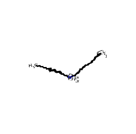 CCCCCCCC/C=C/CCCCCCCC[N+](C)(C)CCCCCCCC/C=C/CCCCCCCC